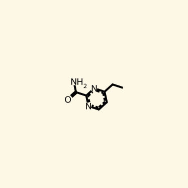 CCc1ccnc(C(N)=O)n1